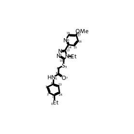 CCc1ccc(NC(=O)CSc2nnc(-c3ccc(OC)cn3)n2CC)cc1